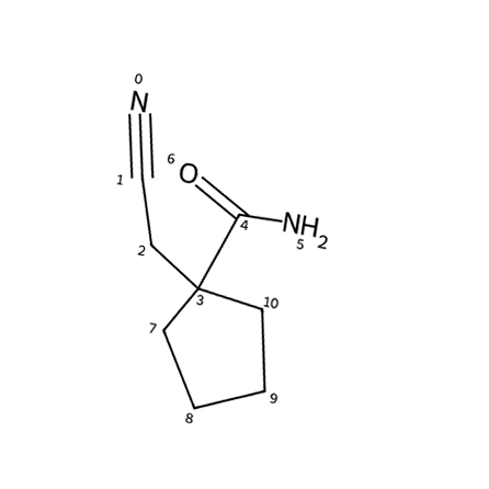 N#CCC1(C(N)=O)CCCC1